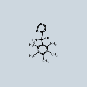 Cc1c(C)c(C)c(C(N)(O)c2ccccc2)c(N)c1C